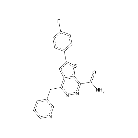 NC(=O)c1nnc(Cc2cccnc2)c2cc(-c3ccc(F)cc3)sc12